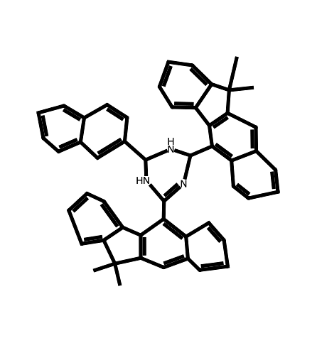 CC1(C)c2ccccc2-c2c1cc1ccccc1c2C1=NC(c2c3c(cc4ccccc24)C(C)(C)c2ccccc2-3)NC(c2ccc3ccccc3c2)N1